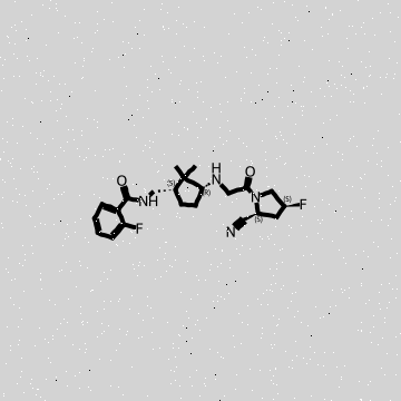 CC1(C)[C@@H](CNC(=O)c2ccccc2F)CC[C@H]1NCC(=O)N1C[C@@H](F)C[C@H]1C#N